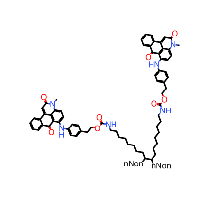 CCCCCCCCCC(CCCCCCCCNC(=O)OCCc1ccc(Nc2ccc3c4c(cc(=O)n3C)-c3ccccc3C(=O)c24)cc1)C(CCCCCCCCC)CCCCCCCCNC(=O)OCCc1ccc(Nc2ccc3c4c(cc(=O)n3C)-c3ccccc3C(=O)c24)cc1